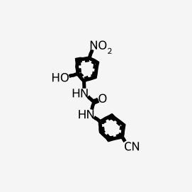 N#Cc1ccc(NC(=O)Nc2ccc([N+](=O)[O-])cc2O)cc1